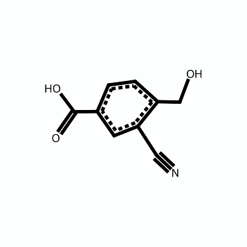 N#Cc1cc(C(=O)O)ccc1CO